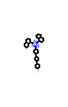 Fc1ccc(-c2ccc(-c3ccc(-c4nc(-c5cccc6ccccc56)nc(-c5cccc6ccccc56)n4)cc3)cc2)cc1